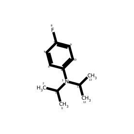 CC(C)N(c1ccc(F)cc1)C(C)C